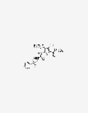 CCOC(=O)c1c(NC(=O)NCC(F)(F)c2ccccc2)sc(C(=O)OC(C)(C)C)c1C